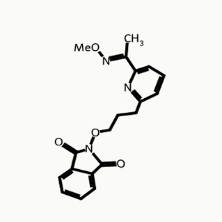 CON=C(C)c1cccc(CCCON2C(=O)c3ccccc3C2=O)n1